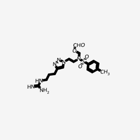 Cc1ccc(S(=O)(=O)N(CCn2cc(CCCNC(=N)N)nn2)COC=O)cc1